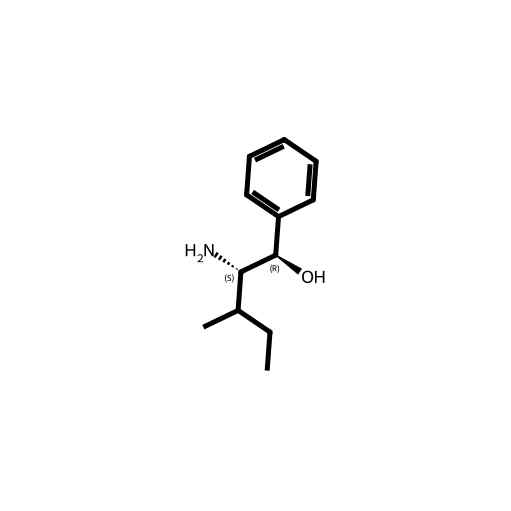 CCC(C)[C@H](N)[C@H](O)c1ccccc1